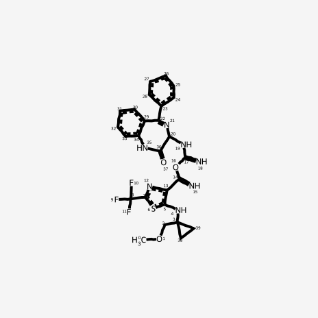 COCC1(Nc2sc(C(F)(F)F)nc2C(=N)OC(=N)NC2N=C(c3ccccc3)c3ccccc3NC2=O)CC1